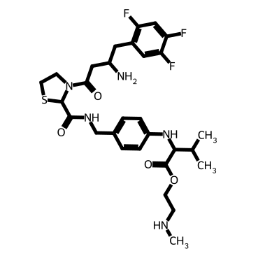 CNCCOC(=O)C(Nc1ccc(CNC(=O)C2SCCN2C(=O)CC(N)Cc2cc(F)c(F)cc2F)cc1)C(C)C